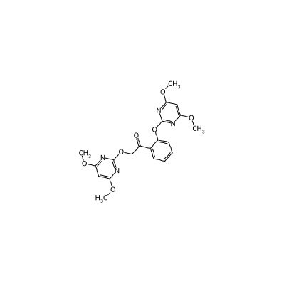 COc1cc(OC)nc(OCC(=O)c2ccccc2Oc2nc(OC)cc(OC)n2)n1